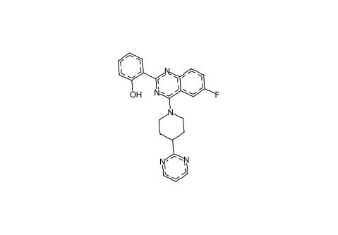 Oc1ccccc1-c1nc(N2CCC(c3ncccn3)CC2)c2cc(F)ccc2n1